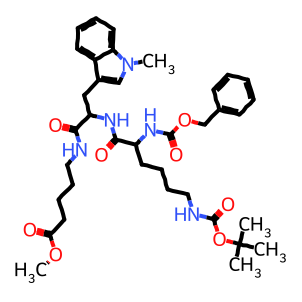 COC(=O)CCCCNC(=O)C(Cc1cn(C)c2ccccc12)NC(=O)C(CCCCNC(=O)OC(C)(C)C)NC(=O)OCc1ccccc1